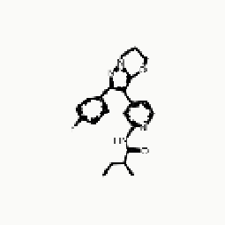 CCC(C)C(=O)Nc1cc(-c2c(-c3ccc(F)cc3)nn3c2OCCC3)ccn1